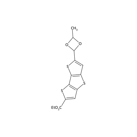 CCOC(=O)c1cc2sc3cc(C4OC(C)O4)sc3c2s1